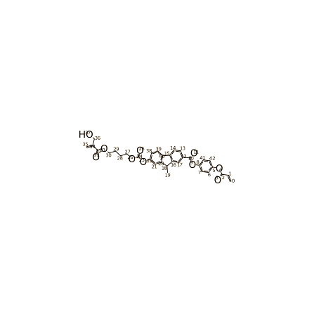 C=CC(=O)Oc1ccc(OC(=O)c2ccc3c(c2)C(C)c2cc(OC(=O)OCCCCOC(=O)C(=C)CO)ccc2-3)cc1